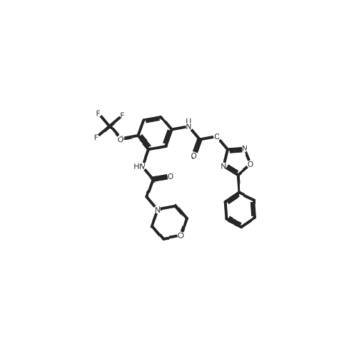 O=C(CN1CCOCC1)Nc1cc(NC(=O)Oc2noc(-c3ccccc3)n2)ccc1OC(F)(F)F